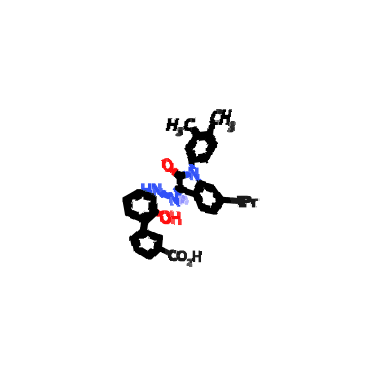 Cc1ccc(N2C(=O)/C(=N\Nc3cccc(-c4cccc(C(=O)O)c4)c3O)c3ccc(C(C)C)cc32)cc1C